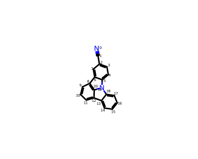 N#Cc1ccc2c(c1)c1cccc3c4ccccc4n2c31